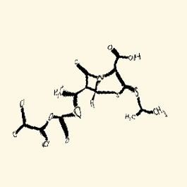 CC(C)SC1=C(C(=O)O)N2C(=O)[C@H](C(C)OC(=O)OC(Cl)C(Cl)Cl)[C@H]2S1